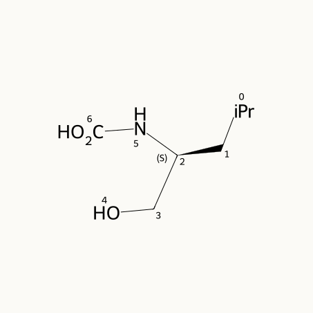 CC(C)C[C@@H](CO)NC(=O)O